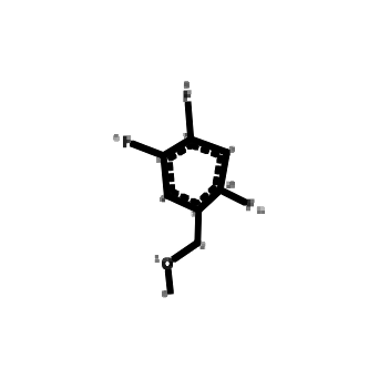 COCc1cc(F)c(F)cc1F